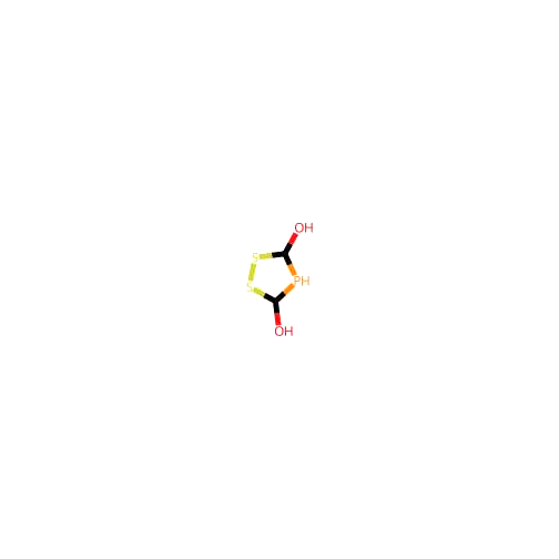 OC1PC(O)SS1